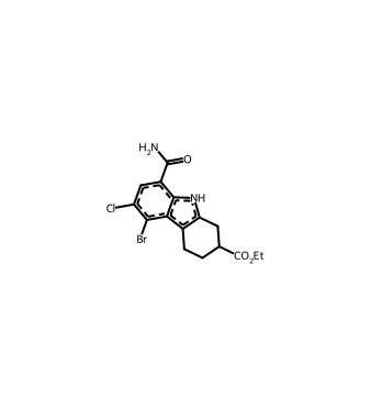 CCOC(=O)C1CCc2c([nH]c3c(C(N)=O)cc(Cl)c(Br)c23)C1